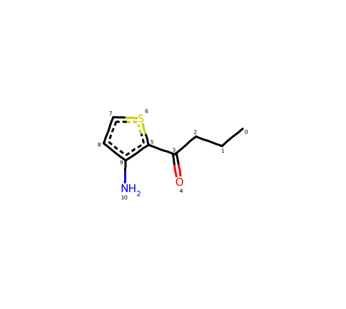 CCCC(=O)c1sccc1N